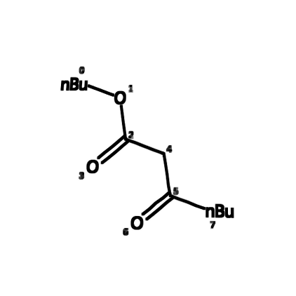 CCCCOC(=O)CC(=O)CCCC